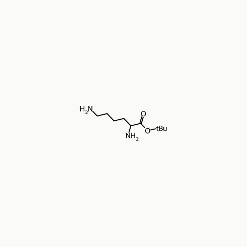 CC(C)(C)OC(=O)C(N)CCCCN